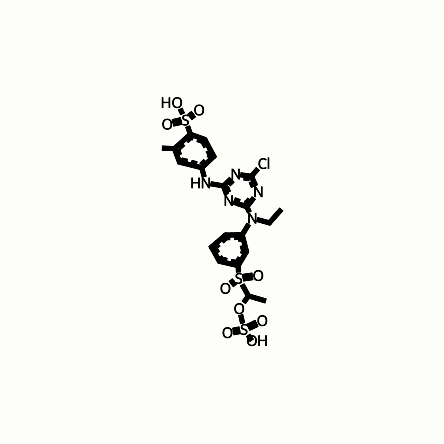 CCN(c1cccc(S(=O)(=O)C(C)OS(=O)(=O)O)c1)c1nc(Cl)nc(Nc2ccc(S(=O)(=O)O)c(C)c2)n1